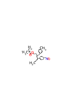 C=C/C=C(\C=C(\CCOC(=O)C(=C)C)Cc1ccc(C)cc1)C1=CCC(CN=O)C=C1